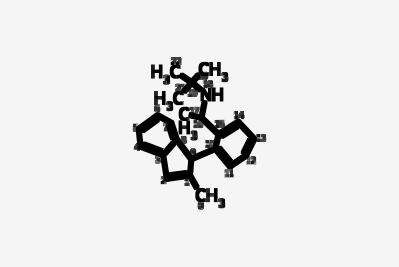 CC1=Cc2ccccc2C1c1ccccc1C(C)NC(C)(C)C